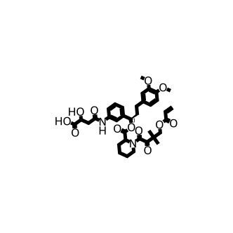 C=CC(=O)OCC(C)(C)C(=O)C(=O)N1CCCCC1C(=O)O[C@H](CCc1ccc(OC)c(OC)c1)c1cccc(NC(=O)CC(O)C(=O)O)c1